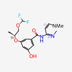 C/N=C(\C=C/NC)NC(=O)c1cc(O)cc(O[C@@H](C)COC(F)F)c1